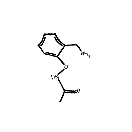 CC(=O)NOc1ccccc1CN